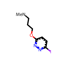 CNCCCOc1ccc(I)nn1